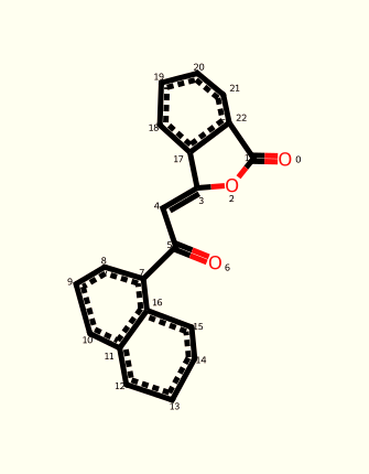 O=C1O/C(=C\C(=O)c2cccc3ccccc23)c2ccccc21